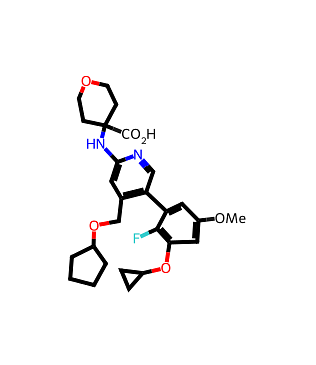 COc1cc(OC2CC2)c(F)c(-c2cnc(NC3(C(=O)O)CCOCC3)cc2COC2CCCC2)c1